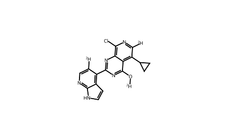 [2H]Oc1nc(-c2c([2H])cnc3[nH]ccc23)nc2c(Cl)nc([2H])c(C3CC3)c12